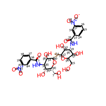 O=C(N[C@@H]1[C@@H](O)[C@@H](CO)O[C@@H](S[C@@H]2O[C@H](CO)[C@H](O)[C@@H](NC(=O)c3cccc([N+](=O)[O-])c3)[C@H]2O)[C@@H]1O)c1cccc([N+](=O)[O-])c1